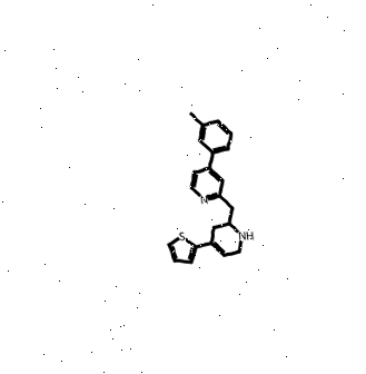 Cc1cccc(-c2ccnc(CC3CC(c4cccs4)=CCN3)c2)c1